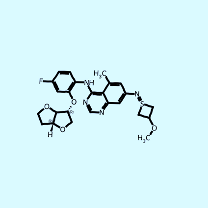 COC1CS(=Nc2cc(C)c3c(Nc4ccc(F)cc4O[C@@H]4CO[C@@H]5CCOC54)ncnc3c2)C1